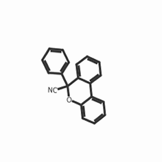 N#CC1(c2ccccc2)Oc2ccccc2-c2ccccc21